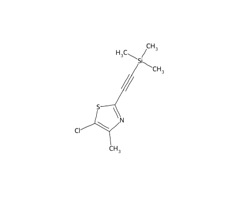 Cc1nc(C#C[Si](C)(C)C)sc1Cl